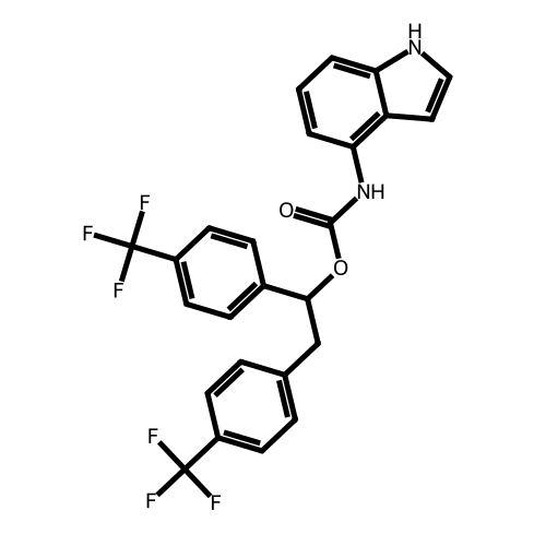 O=C(Nc1cccc2[nH]ccc12)OC(Cc1ccc(C(F)(F)F)cc1)c1ccc(C(F)(F)F)cc1